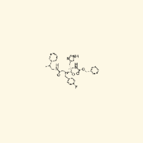 CC(CNC(=O)CN(Cc1ccc(F)cc1)C(=O)[C@H](Cc1c[nH]cn1)NC(=O)OCc1ccccc1)c1ccccc1